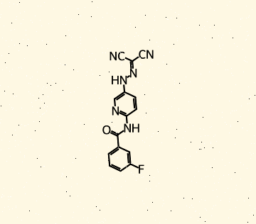 N#CC(C#N)=NNc1ccc(NC(=O)c2cccc(F)c2)nc1